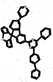 c1ccc(-c2ccc(-c3cc(-c4ccccc4)nc(-c4ccc5c(c4)-c4cc(-c6ccncc6)ccc4C54c5ccccc5Oc5ccccc54)n3)cc2)cc1